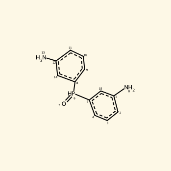 Nc1cccc([PH](=O)c2cccc(N)c2)c1